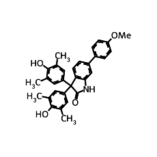 COc1ccc(-c2ccc3c(c2)NC(=O)C3(c2cc(C)c(O)c(C)c2)c2cc(C)c(O)c(C)c2)cc1